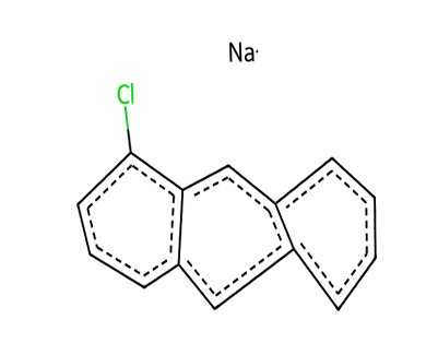 Clc1cccc2cc3ccccc3cc12.[Na]